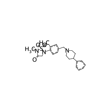 Cc1cc(CN2CCC(c3ccccc3)CC2)ccc1N1CC(=O)N(C)S1(=O)=O